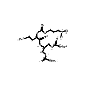 CCCCCCCCCCCCC(OC(=O)OCCCN(CC)CC)C(=O)OC(COC(=O)CCCCCCC)COC(=O)CCCCCCC